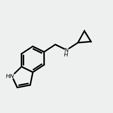 c1cc2cc(CNC3CC3)ccc2[nH]1